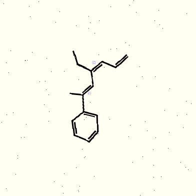 C=C/C=C(\C=C(/C)c1ccccc1)CC